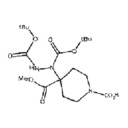 COC(=O)C1(N(NC(=O)OC(C)(C)C)C(=O)OC(C)(C)C)CCN(C(=O)O)CC1